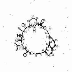 CC(C)[C@@H]1NC(=O)C/C=C\c2cc3cc(ccc3cn2)[C@@H](C)OC(=O)[C@@H]2CCCN(N2)C(=O)[C@H](C)NC1=O